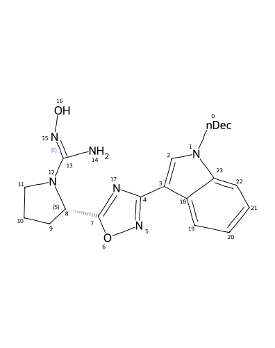 CCCCCCCCCCn1cc(-c2noc([C@@H]3CCCN3/C(N)=N/O)n2)c2ccccc21